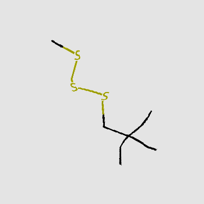 CSSSCC(C)(C)C